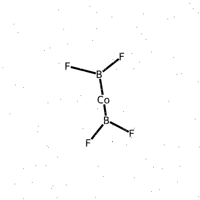 F[B](F)[Co][B](F)F